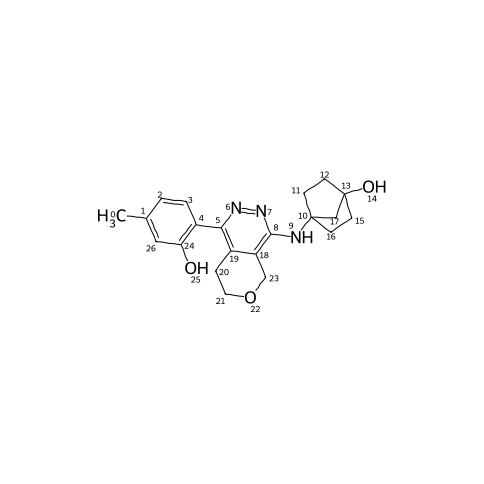 Cc1ccc(-c2nnc(NC34CCC(O)(CC3)C4)c3c2CCOC3)c(O)c1